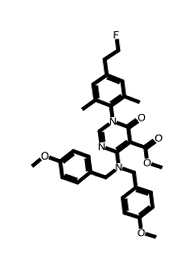 COC(=O)c1c(N(Cc2ccc(OC)cc2)Cc2ccc(OC)cc2)ncn(-c2c(C)cc(CCF)cc2C)c1=O